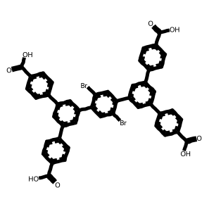 O=C(O)c1ccc(-c2cc(-c3ccc(C(=O)O)cc3)cc(-c3cc(Br)c(-c4cc(-c5ccc(C(=O)O)cc5)cc(-c5ccc(C(=O)O)cc5)c4)cc3Br)c2)cc1